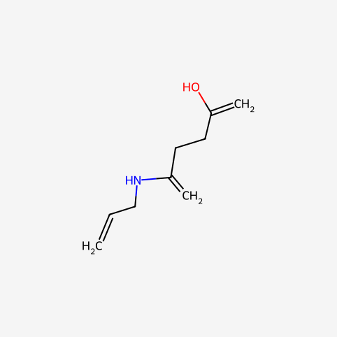 C=CCNC(=C)CCC(=C)O